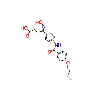 CCCCOc1ccc(C(=O)Nc2ccc(/C(CCC(=O)O)=N/O)cc2)cc1